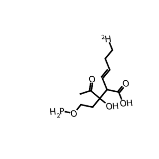 [2H]CC/C=C/C(C(=O)O)C(O)(CCOP)C(C)=O